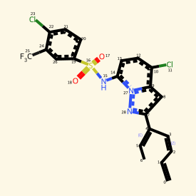 C=C/C=C\C(=C/C)c1cc2c(Cl)ccc(NS(=O)(=O)c3ccc(Cl)c(C(F)(F)F)c3)n2n1